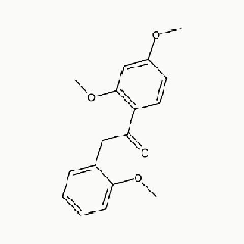 COc1ccc(C(=O)Cc2ccccc2OC)c(OC)c1